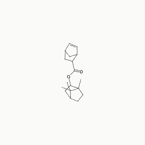 CC1(C)C2CCC1(C)C(OC(=O)C1CC3C=CC1C3)C2